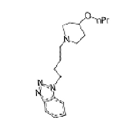 CCCOC1CCN(CCCCn2nnc3ccccc32)CC1